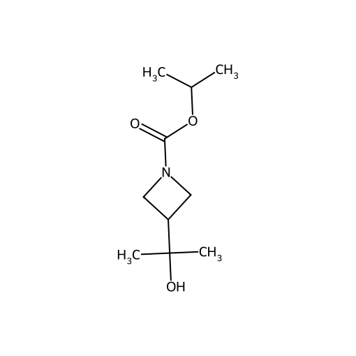 CC(C)OC(=O)N1CC(C(C)(C)O)C1